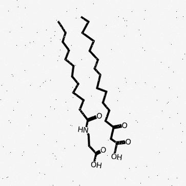 CCCCCCCCCCCC(=O)NCCC(=O)O.CCCCCCCCCCCCCC(=O)CC(=O)O